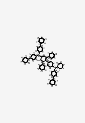 C1=CCC(N(C2=CC=C(C3=C(c4ccccc4)C=C(N(c4ccc(-c5ccccc5)cc4)c4ccc(-c5ccccc5)cc4)CC3c3ccccc3)CC2)c2ccc(-c3ccccc3)cc2)C=C1